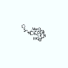 COc1ccc2ncc(Cl)c(C(O)CCC3(C(=O)O)CCN(CCSC4CCCC4)CC3)c2c1